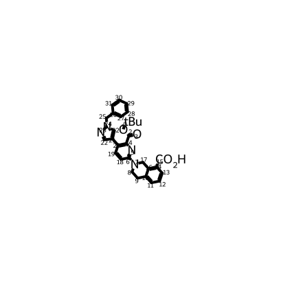 CC(C)(C)OC(=O)c1nc(N2CCc3cccc(C(=O)O)c3C2)ccc1-c1cnn(Cc2ccccc2)c1